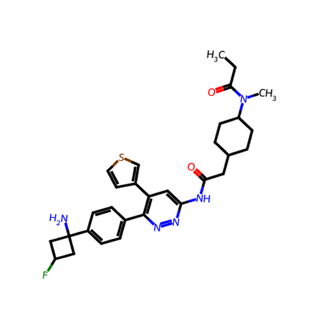 CCC(=O)N(C)C1CCC(CC(=O)Nc2cc(-c3ccsc3)c(-c3ccc(C4(N)CC(F)C4)cc3)nn2)CC1